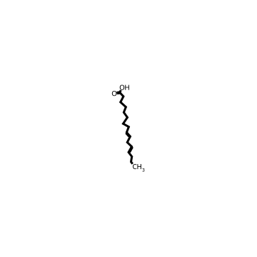 CCC/C=C/C/C=C/CCCCCCCC(=O)O